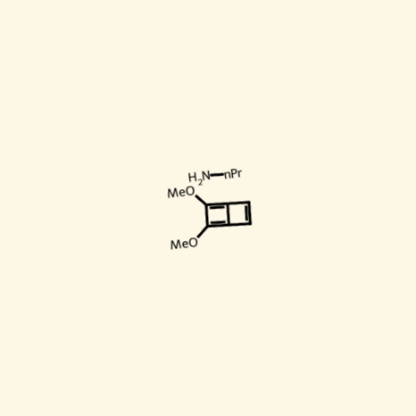 CCCN.COc1c2ccc-2c1OC